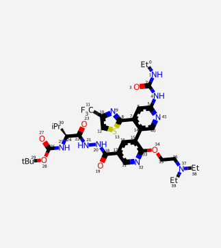 CCNC(=O)Nc1cc(-c2nc(C(F)(F)F)cs2)c(-c2cc(C(=O)NNC(=O)[C@@H](NC(=O)OC(C)(C)C)C(C)C)cnc2OCCN(CC)CC)cn1